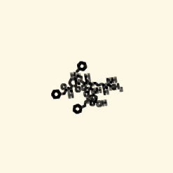 N=C(N)NCCC[C@H](NC(=O)C1C[C@@H](Cc2ccccc2)[C@@H]2CCC(NC(=O)Cc3ccccc3)C(=O)N12)C(=O)NC(CC(=O)O)C(=O)NCCc1ccccc1